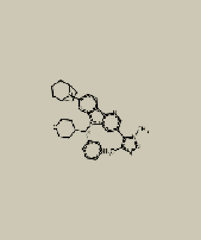 Cc1nnn(C)c1-c1cnc2c3ccc(N4C5CCCC4CC5)nc3n([C@H](c3ccccc3)C3CCOCC3)c2c1